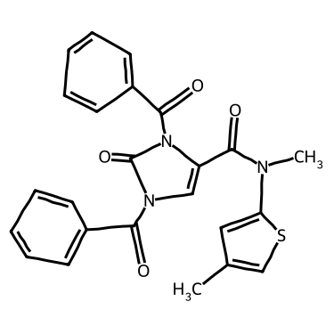 Cc1csc(N(C)C(=O)c2cn(C(=O)c3ccccc3)c(=O)n2C(=O)c2ccccc2)c1